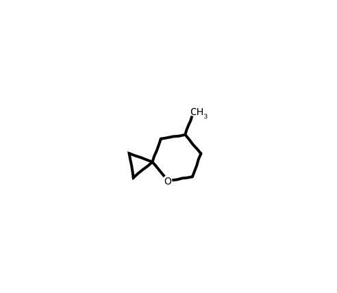 CC1CCOC2(CC2)C1